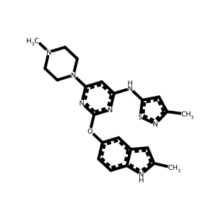 Cc1cc(Nc2cc(N3CCN(C)CC3)nc(Oc3ccc4[nH]c(C)cc4c3)n2)sn1